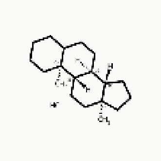 C[C@@]12CCC[C@H]1[C@@H]1CCC3CCCC[C@]3(C)[C@H]1CC2.Cl